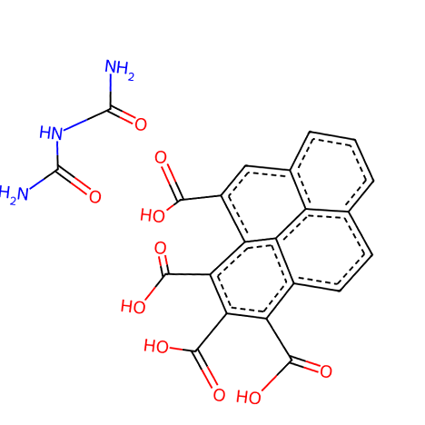 NC(=O)NC(N)=O.O=C(O)c1c(C(=O)O)c2ccc3cccc4cc(C(=O)O)c(c1C(=O)O)c2c34